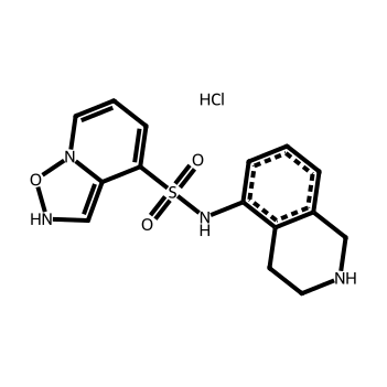 Cl.O=S(=O)(Nc1cccc2c1CCNC2)C1=CC=CN2ONC=C12